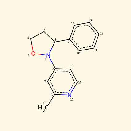 Cc1cc(N2OCCC2c2ccccc2)ccn1